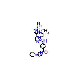 Cc1ncc(-c2ccnc(Nc3ccc(C(=O)N4CC[C@H](N5CCCCC5)C4)cc3)n2)n1C(C)C